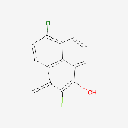 C=c1c(F)c(O)c2cccc3c(Cl)ccc1c32